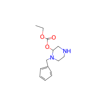 CCOC(=O)OC1CNCCN1Cc1ccccc1